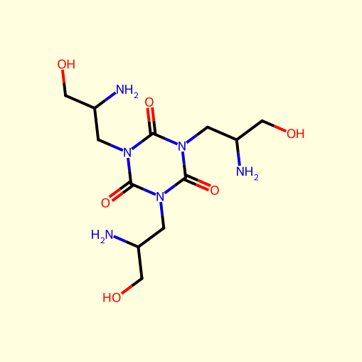 NC(CO)Cn1c(=O)n(CC(N)CO)c(=O)n(CC(N)CO)c1=O